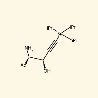 CC(=O)[C@@H](N)[C@H](O)C#C[Si](C(C)C)(C(C)C)C(C)C